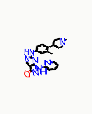 Cc1cc(Nc2ncc3c(=O)[nH]n(-c4ccccn4)c3n2)ccc1C1=CCN(C)CC1